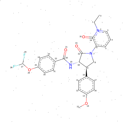 CCn1cccc(N2C[C@@H](c3ccc(OC)cc3)[C@H](NC(=O)c3ccc(OC(F)F)cc3)C2=O)c1=O